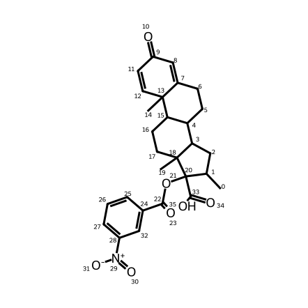 CC1CC2C3CCC4=CC(=O)C=CC4(C)C3CCC2(C)C1(OC(=O)c1cccc([N+](=O)[O-])c1)C(=O)O